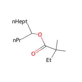 CCCCCCCC(CCC)OC(=O)C(C)(C)CC